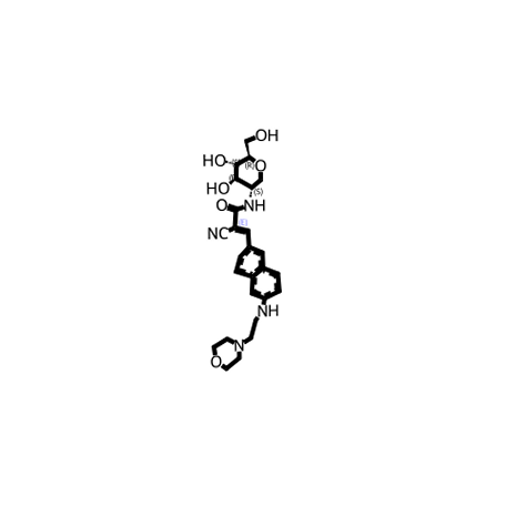 N#C/C(=C\c1ccc2cc(NCCN3CCOCC3)ccc2c1)C(=O)N[C@H]1CO[C@H](CO)[C@@H](O)[C@@H]1O